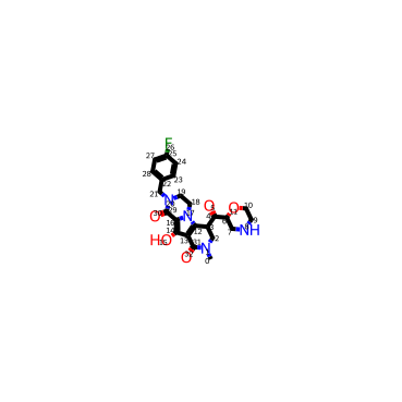 CN1CC(C(=O)C2CNCCO2)c2c(c(O)c3n2CCN(Cc2ccc(F)cc2)C3=O)C1=O